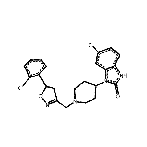 O=c1[nH]c2ccc(Cl)cc2n1C1CCN(CC2=NOC(c3ccccc3Cl)C2)CC1